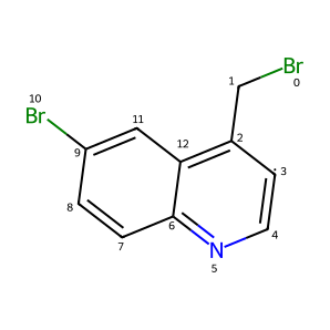 BrCc1[c]cnc2ccc(Br)cc12